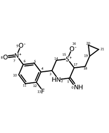 N=C1NC(c2cc([N+](=O)[O-])ccc2F)C[S+]([O-])C1CC1CC1